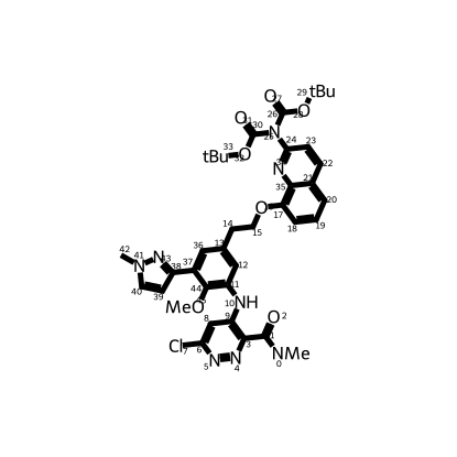 CNC(=O)c1nnc(Cl)cc1Nc1cc(CCOc2cccc3ccc(N(C(=O)OC(C)(C)C)C(=O)OC(C)(C)C)nc23)cc(-c2ccn(C)n2)c1OC